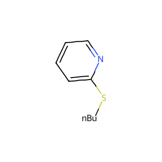 [CH2]CCCSc1ccccn1